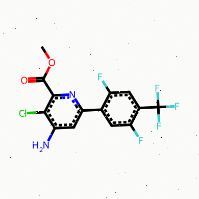 COC(=O)c1nc(-c2cc(F)c(C(F)(F)F)cc2F)cc(N)c1Cl